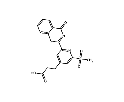 CS(=O)(=O)c1cc(CCC(=O)O)cc(-c2nc(=O)c3ccccc3s2)n1